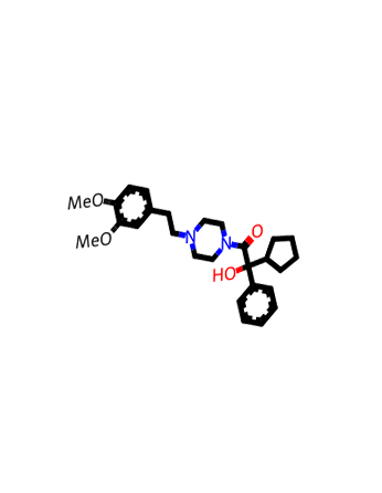 COc1ccc(CCN2CCN(C(=O)C(O)(c3ccccc3)C3CCCC3)CC2)cc1OC